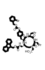 CC(C)C[C@@H]1NC(=O)[C@H](Cc2ccc(OC(=O)OCc3ccccc3Br)cc2)N[C@@H](CNC(=O)OCC2c3ccccc3-c3ccccc32)CCN(CC(=O)O)C(=O)[C@H](CC(C)C)NC1=O